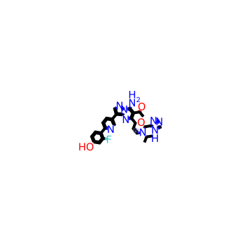 CC(=O)c1c(C/C=C\N(C(=O)c2nnc[nH]2)C(C)C)nc2c(-c3ccc(-c4ccc(O)cc4F)nc3)cnn2c1N